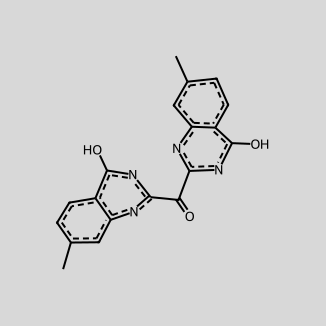 Cc1ccc2c(O)nc(C(=O)c3nc(O)c4ccc(C)cc4n3)nc2c1